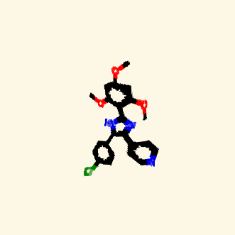 COc1cc(OC)c(-c2nc(-c3ccncc3)c(-c3ccc(Cl)cc3)[nH]2)c(OC)c1